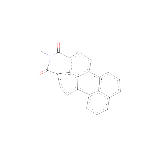 CN1C(=O)c2ccc3c4cccc5cccc(c6ccc(c2c36)C1=O)c54